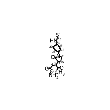 CC(=O)C(CC(=O)ON)C1CCN(c2ccc(NC=S)cc2)C1=O